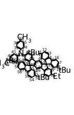 CCc1ccc2c(c1)C1(c3cc(C(C)(C)C)ccc3-c3ccc(C(C)(C)C)cc31)c1cc3c(cc1-2)C1(c2cc(N(c4ccc(C)cc4)c4ccc(C)cc4)ccc2-3)c2cc(C(C)(C)C)ccc2-c2ccc(C(C)(C)C)cc21